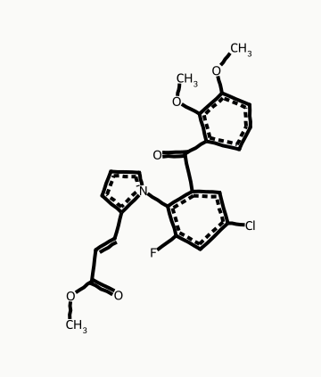 COC(=O)C=Cc1cccn1-c1c(F)cc(Cl)cc1C(=O)c1cccc(OC)c1OC